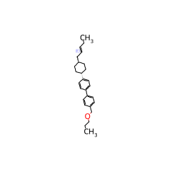 CC/C=C/C[C@H]1CC[C@H](c2ccc(-c3ccc(COCCC)cc3)cc2)CC1